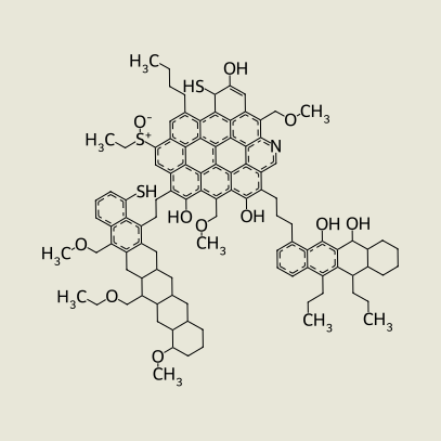 CCCCc1cc2c([S+]([O-])CC)cc3c(CCc4c5c(c(COC)c6cccc(S)c46)CC4C(C5)CC5CC6CCCC(OC)C6CC5C4COCC)c(O)c4c(COC)c5c(O)c(CCCc6cccc7c(CCC)c8c(c(O)c67)C(O)C6CCCCC6C8CCC)c6cnc7c(COC)c8c9c(c1c1c2c3c4c2c5c6c7c9c12)C(S)C(O)=C8